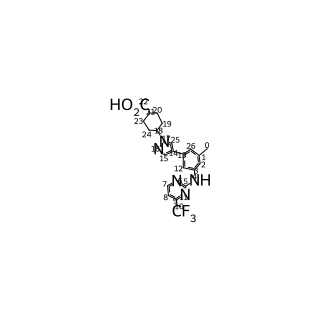 Cc1cc(Nc2nccc(C(F)(F)F)n2)cc(-c2cnn(C3CCC(C(=O)O)CC3)c2)c1